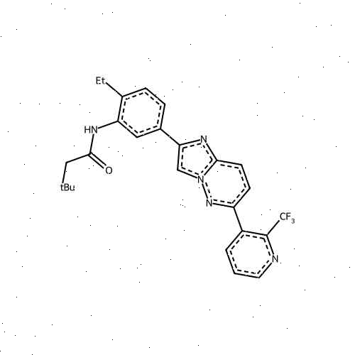 CCc1ccc(-c2cn3nc(-c4cccnc4C(F)(F)F)ccc3n2)cc1NC(=O)CC(C)(C)C